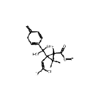 C=C1C=CC(C(O)(O)C2(C=C(Cl)Cl)C(C)(C)C2(F)C(=O)OF)=CC1